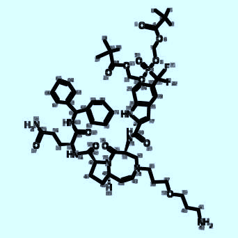 CC(C)(C)C(=O)OCOP(=O)(OCOC(=O)C(C)(C)C)C(F)(F)c1ccc2[nH]c(C(=O)N[C@H]3CN(CCCOCCCN)/C=C\[C@H]4CC[C@@H](C(=O)N[C@@H](CCC(N)=O)C(=O)NC(c5ccccc5)c5ccccc5)N4C3=O)cc2c1